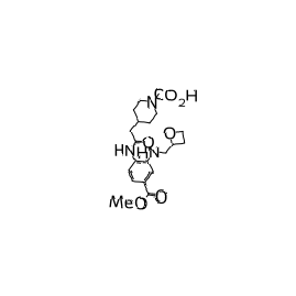 COC(=O)c1ccc(NC(=O)CC2CCN(C(=O)O)CC2)c(NCC2CCO2)c1